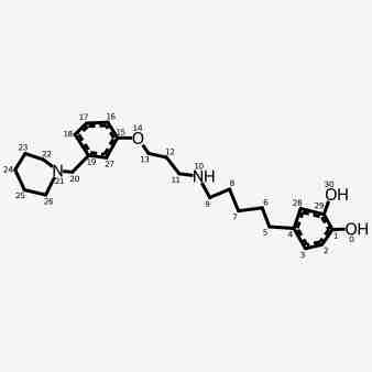 Oc1ccc(CCCCCNCCCOc2cccc(CN3CCCCC3)c2)cc1O